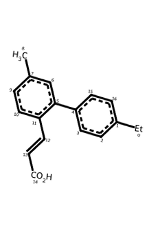 CCc1ccc(-c2cc(C)ccc2/C=C/C(=O)O)cc1